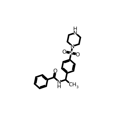 CC(NC(=O)c1ccccc1)c1ccc(S(=O)(=O)N2CCNCC2)cc1